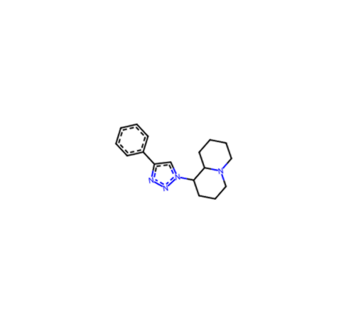 c1ccc(-c2cn(C3CCCN4CCCCC34)nn2)cc1